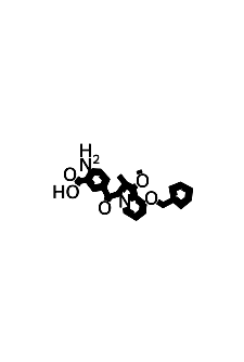 COc1c(C)c(C(=O)c2ccc(N)c(C(=O)O)c2)n2cccc(OCc3ccccc3)c12